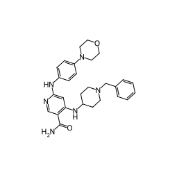 NC(=O)c1cnc(Nc2ccc(N3CCOCC3)cc2)cc1NC1CCN(Cc2ccccc2)CC1